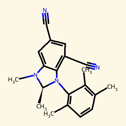 Cc1ccc(C)c(N2c3c(C#N)cc(C#N)cc3N(C)[C@@H]2C)c1C